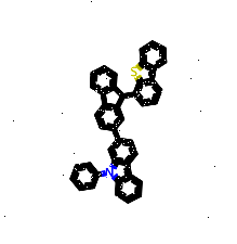 c1ccc(-n2c3ccccc3c3ccc(-c4ccc5c(c4)C(c4cccc6c4sc4ccccc46)c4ccccc4-5)cc32)cc1